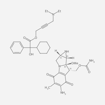 CCN(CC)CC#CCOC(=O)C(O)(c1ccccc1)C1CCCCC1.CO[C@@]12[C@H](COC(N)=O)C3=C(C(=O)C(C)=C(N)C3=O)N1C[C@@H]1N[C@@H]12